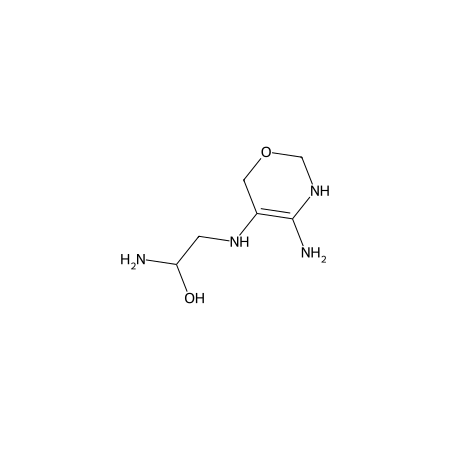 NC1=C(NCC(N)O)COCN1